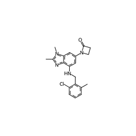 Cc1cccc(Cl)c1CNc1cc(N2CCC2=O)cc2c1nc(C)n2C